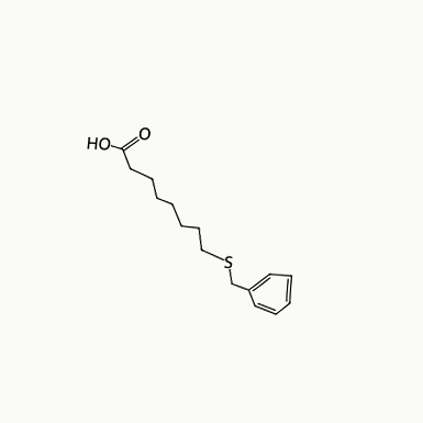 O=C(O)CCCCCCCSCc1ccccc1